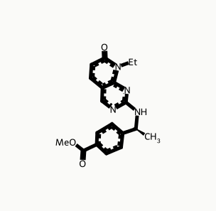 CCn1c(=O)ccc2cnc(N[C@@H](C)c3ccc(C(=O)OC)cc3)nc21